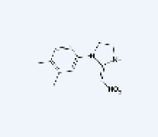 Cc1ccc(N2CCNC2=C[N+](=O)[O-])cc1C